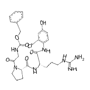 N=C(N)NCCC[C@H](NC(=O)[C@@H]1CCCN1C(=O)CNC(=O)OCc1ccccc1)C(=O)Nc1ccc(O)cc1Cl